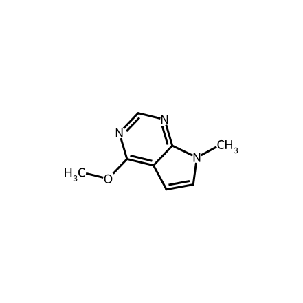 COc1ncnc2c1ccn2C